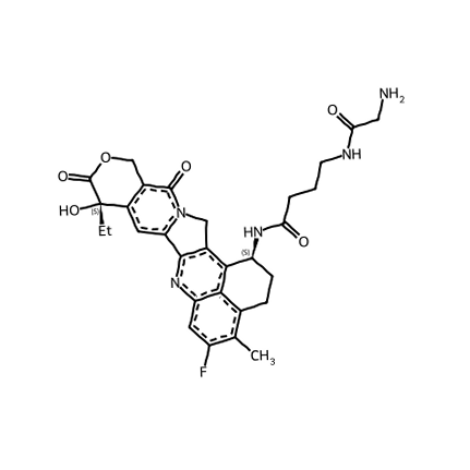 CC[C@@]1(O)C(=O)OCc2c1cc1n(c2=O)Cc2c-1nc1cc(F)c(C)c3c1c2[C@@H](NC(=O)CCCNC(=O)CN)CC3